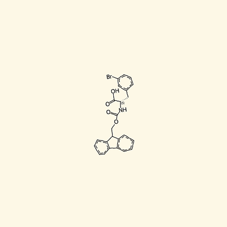 O=C(N[C@@H](Cc1cccc(Br)c1)C(=O)O)OCC1c2ccccc2-c2ccccc21